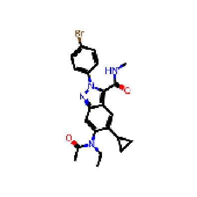 CCN(C(C)=O)c1cc2nn(-c3ccc(Br)cc3)c(C(=O)NC)c2cc1C1CC1